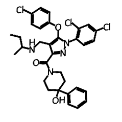 CCC(C)NCc1c(C(=O)N2CCC(O)(c3ccccc3)CC2)nn(-c2ccc(Cl)cc2Cl)c1Oc1ccc(Cl)cc1